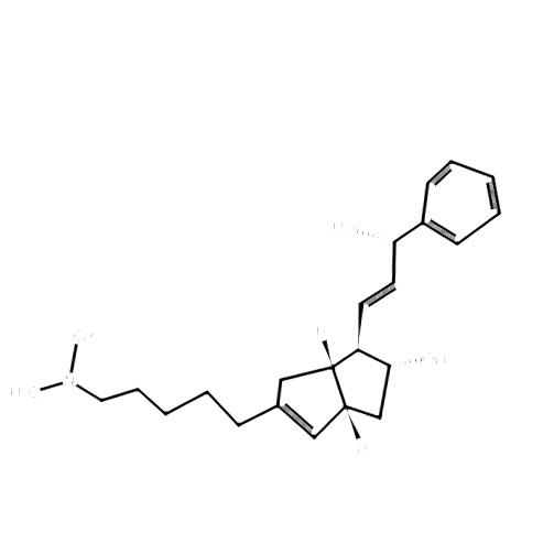 CN(C)CCCCCC1=C[C@H]2C[C@@H](O)[C@H](/C=C/[C@H](O)c3ccccc3)[C@H]2C1